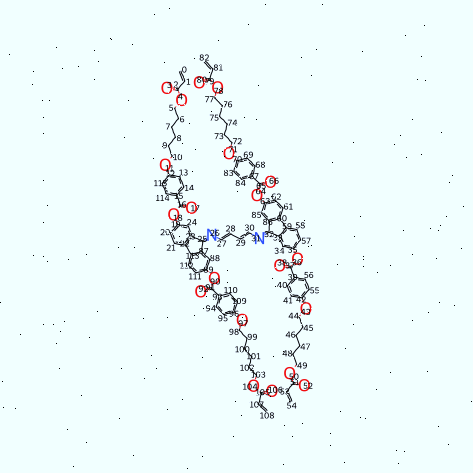 C=CC(=O)OCCCCCCOc1ccc(C(=O)Oc2ccc3c(c2)C(=N/C=C/C=C/N=C2c4cc(OC(=O)c5ccc(OCCCCCCOC(=O)C=C)cc5)ccc4-c4ccc(OC(=O)c5ccc(OCCCCCCOC(=O)C=C)cc5)cc42)c2cc(OC(=O)c4ccc(OCCCCCCOC(=O)C=C)cc4)ccc2-3)cc1